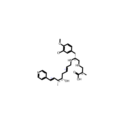 COc1ccc(C[C@H](CNC[C@@H](C)C(=O)O)NC/C=C/C[C@H](O)[C@H](C)/C=C/c2ccncc2)cc1Cl